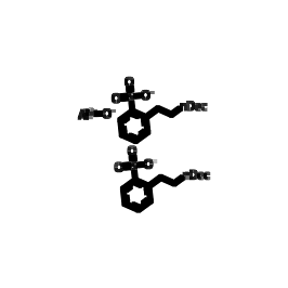 CC(C)[O-].CCCCCCCCCCCCc1ccccc1S(=O)(=O)[O-].CCCCCCCCCCCCc1ccccc1S(=O)(=O)[O-].[Al+3]